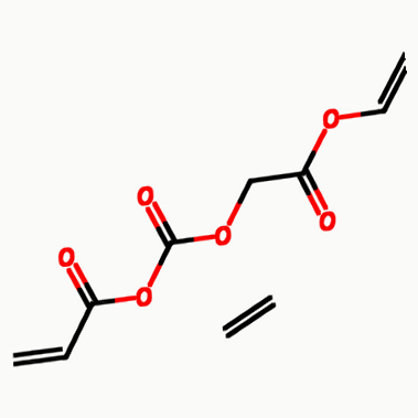 C=C.C=COC(=O)COC(=O)OC(=O)C=C